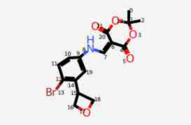 CC1(C)OC(=O)C(=CNc2ccc(Br)c(C3COC3)c2)C(=O)O1